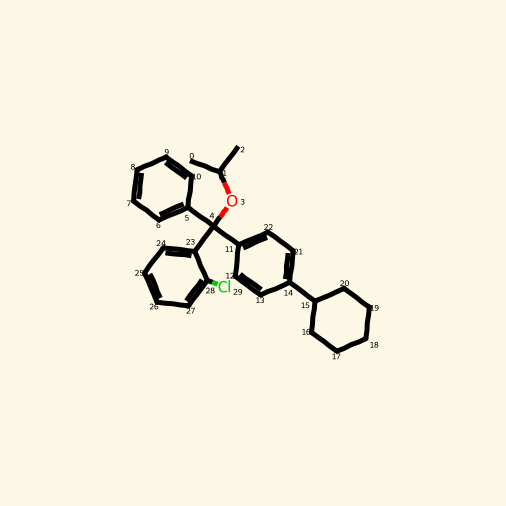 CC(C)OC(c1ccccc1)(c1ccc(C2CCCCC2)cc1)c1ccccc1Cl